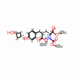 CC(C)(C)OC(=O)N[C@@H](C[C@H](Cc1ccc(O[C@H]2C[C@H](O)C2)cc1)C(=O)OC(C)(C)C)C(=O)OC(C)(C)C